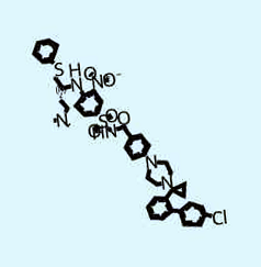 CN(C)CC[C@H](CSc1ccccc1)Nc1ccc(S(=O)(=O)NC(=O)c2ccc(N3CCN(C4(c5ccccc5-c5ccc(Cl)cc5)CC4)CC3)cc2)cc1[N+](=O)[O-]